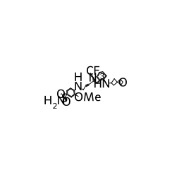 COc1cc(S(N)(=O)=O)ccc1NCC#Cc1cc2c(NC3CC4(COC4)C3)cccc2n1CC(F)(F)F